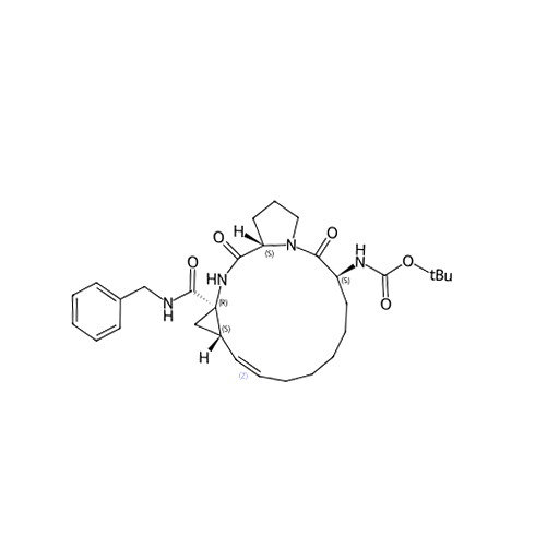 CC(C)(C)OC(=O)N[C@H]1CCCCC/C=C\[C@@H]2C[C@@]2(C(=O)NCc2ccccc2)NC(=O)[C@@H]2CCCN2C1=O